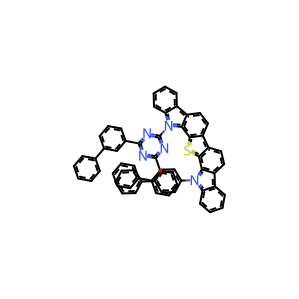 c1ccc(-c2ccc(-n3c4ccccc4c4ccc5c6ccc7c8ccccc8n(-c8nc(-c9cccc(-c%10ccccc%10)c9)nc(-c9ccccc9-c9ccccc9)n8)c7c6sc5c43)cc2)cc1